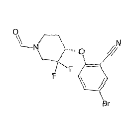 N#Cc1cc(Br)ccc1O[C@H]1CCN(C=O)CC1(F)F